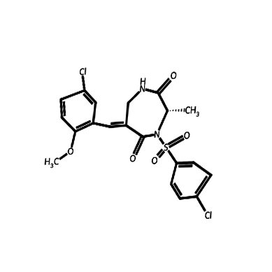 COc1ccc(Cl)cc1/C=C1\CNC(=O)[C@H](C)N(S(=O)(=O)c2ccc(Cl)cc2)C1=O